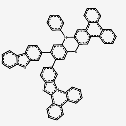 c1ccc(N2c3cc(-c4ccc5c(c4)sc4ccccc45)c(-c4ccc5nc6c7ccccc7c7ccccc7n6c5c4)cc3Sc3cc4c5ccccc5c5ccccc5c4cc32)cc1